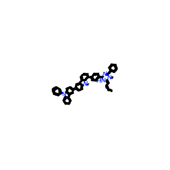 C/C=C\C=CN(C)/C(=N\C(=N)c1ccc(-c2cccc3c4cc(-c5ccc6c(c5)c5ccccc5n6-c5ccccc5)ccc4n(C)c23)cc1)c1ccccc1